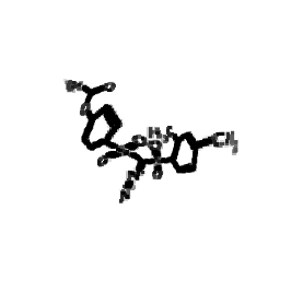 Cc1ccc(S(=O)(=O)C(=[N+]=[N-])S(=O)(=O)c2ccc(OC(=O)C(C)C)cc2)c(C)c1